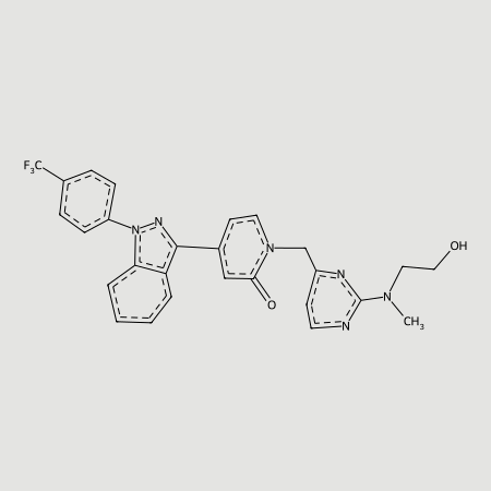 CN(CCO)c1nccc(Cn2ccc(-c3nn(-c4ccc(C(F)(F)F)cc4)c4ccccc34)cc2=O)n1